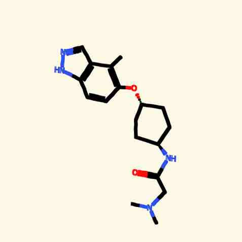 Cc1c(O[C@H]2CC[C@H](NC(=O)CN(C)C)CC2)ccc2[nH]ncc12